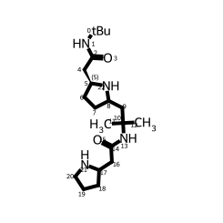 CC(C)(C)NC(=O)C[C@@H]1CCC(CC(C)(C)NC(=O)CC2CCCN2)N1